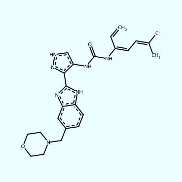 C=C/C(=C\C=C(/C)Cl)NC(=O)Nc1c[nH]nc1-c1nc2cc(CN3CCOCC3)ccc2[nH]1